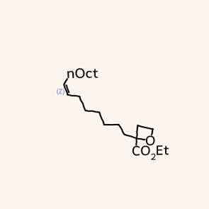 CCCCCCCC/C=C\CCCCCCC1(C(=O)OCC)CCO1